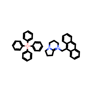 c1ccc([B-](c2ccccc2)(c2ccccc2)c2ccccc2)cc1.c1ccc2c(C[N+]3=C4CCCN4CCC3)c3ccccc3cc2c1